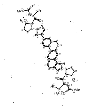 COC(=O)NC(C(=O)N1[C@@H](C)CC[C@H]1c1ncc(-c2ccc3c(c2)COc2cc4c(ccc5nc([C@@H]6CC[C@H](C)N6C(=O)[C@@H](NC(=O)OC)[C@H](C)O)[nH]c54)cc2-3)[nH]1)C(C)C